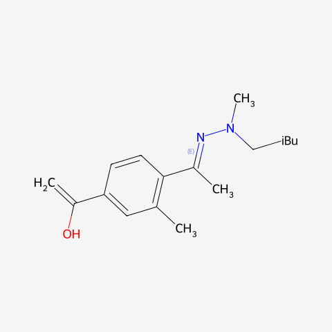 C=C(O)c1ccc(/C(C)=N/N(C)CC(C)CC)c(C)c1